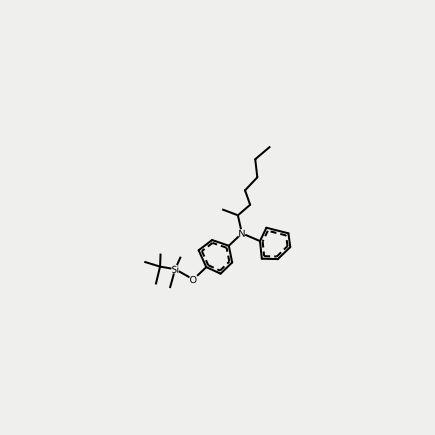 CCCCCC(C)N(c1ccccc1)c1ccc(O[Si](C)(C)C(C)(C)C)cc1